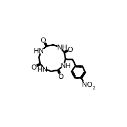 O=C1CNC(=O)CNC(=O)C(Cc2ccc([N+](=O)[O-])cc2)NC(=O)CN1